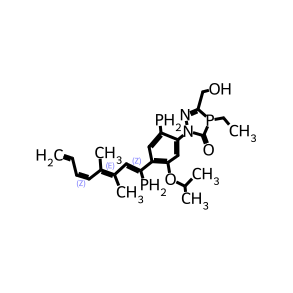 C=C\C=C/C(C)=C(C)/C=C(\P)c1cc(P)c(-n2nc(CO)p(CC)c2=O)cc1OC(C)C